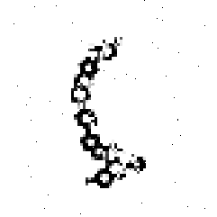 O=C1CCN(c2ccc(CN3CCN(c4ccc(-c5ccc6c(c5)C(=O)N(C(C(=O)Nc5nccs5)c5cc(F)ccc5O)C6)nn4)CC3)c(F)c2)C(=O)N1